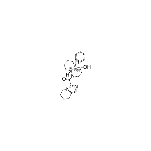 O=C(c1ncc2n1CCCC2)N1CC[C@](O)(c2ccccc2)[C@H]2CCCC[C@H]21